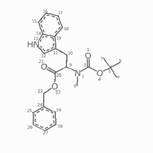 CN(C(=O)OC(C)(C)C)C(Cc1c[nH]c2ccccc12)C(=O)OCc1ccccc1